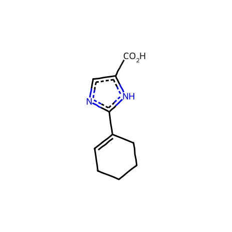 O=C(O)c1cnc(C2=CCCCC2)[nH]1